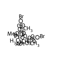 C=P(OC[C@H]1O[C@@H](S(=O)(=O)c2ccc(Br)cc2)C(C)[C@H]1OC)(OC(C(C)C)C(C)N(C)C(C)=O)O[C@@H]1C(C)[C@H](S(=O)(=O)c2ccc(Br)cc2)O[C@@H]1COC